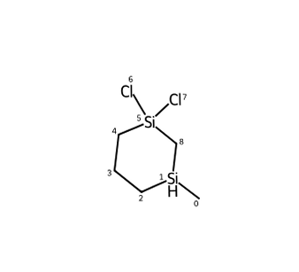 C[SiH]1CCC[Si](Cl)(Cl)C1